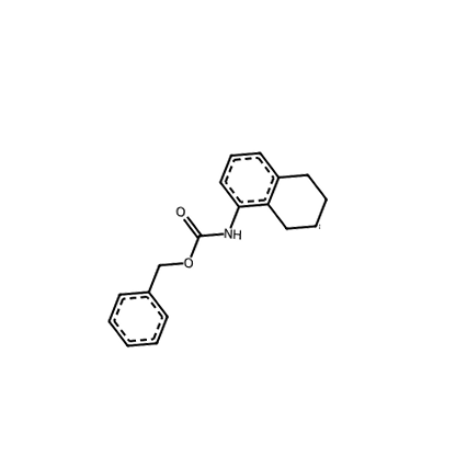 O=C(Nc1cccc2c1C[C]CC2)OCc1ccccc1